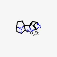 CCOC(=O)C1CCC2CCC1(C1=[C]C3=NC(=C3)N1)N2